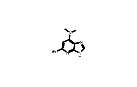 CC(C)c1cc(N(C)C)c2nc[nH]c2n1